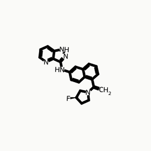 C=C(c1cccc2cc(Nc3n[nH]c4cccnc34)ccc12)N1CC[C@@H](F)C1